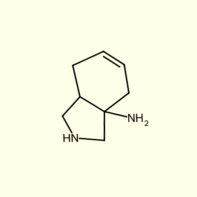 NC12CC=CCC1CNC2